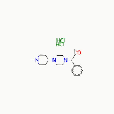 CN1CCC(N2CCN(C(c3ccccc3)C3CO3)CC2)CC1.Cl.Cl